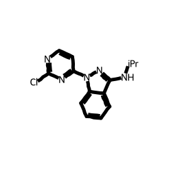 CC(C)Nc1nn(-c2ccnc(Cl)n2)c2ccccc12